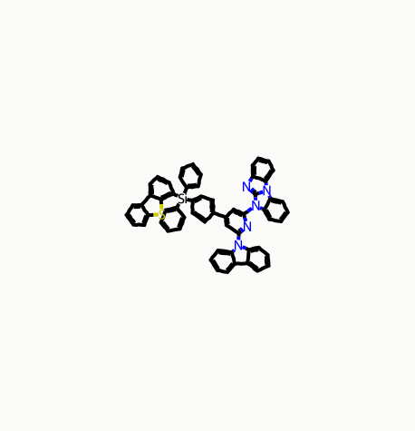 c1ccc([Si](c2ccccc2)(c2ccc(-c3cc(-n4c5ccccc5c5ccccc54)nc(-n4c5ccccc5n5c6ccccc6nc45)c3)cc2)c2cccc3c2sc2ccccc23)cc1